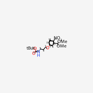 COC(OC)c1cc(OCCCNC(=O)OC(C)(C)C)ccc1[N+](=O)[O-]